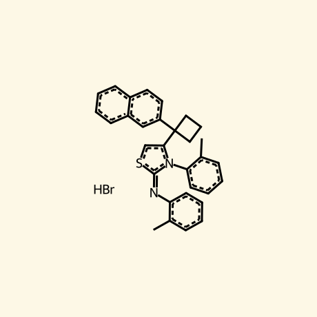 Br.Cc1ccccc1/N=c1/scc(C2(c3ccc4ccccc4c3)CCC2)n1-c1ccccc1C